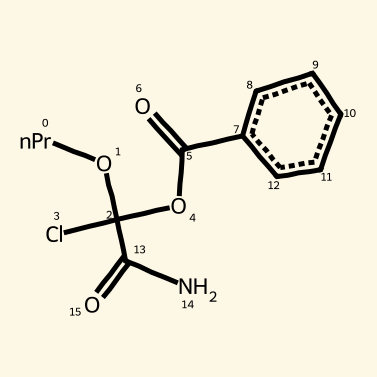 CCCOC(Cl)(OC(=O)c1ccccc1)C(N)=O